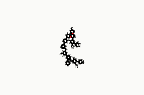 Cc1cccc(-c2ccc3c4ccc(-c5cccc(Cc6cc(C)cc(-c7ccc8c(c7)c7ccccc7n8-c7cc(C#N)c(-c8ccncc8)cc7C)c6)c5)cc4n(-c4cc(C#N)c(-c5ccncc5)cc4-c4ccccc4)c3c2)c1